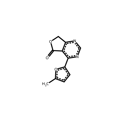 Cc1ccc(-c2ncnc3c2C(=O)OC3)o1